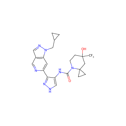 O=C(Nc1c[nH]nc1-c1cc2c(cn1)cnn2CC1CC1)N1CCC(O)(C(F)(F)F)CC12CC2